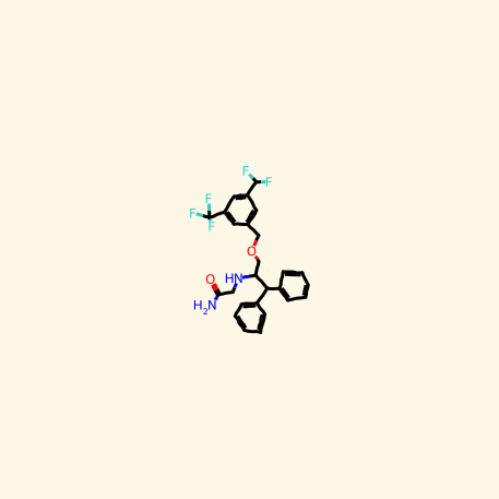 NC(=O)CNC(COCc1cc(C(F)F)cc(C(F)(F)F)c1)C(c1ccccc1)c1ccccc1